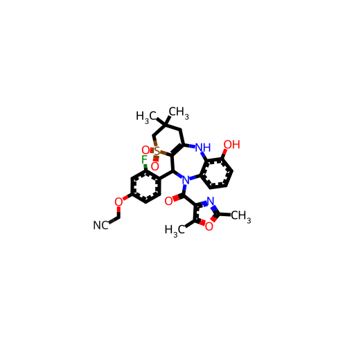 Cc1nc(C(=O)N2c3cccc(O)c3NC3=C(C2c2ccc(OCC#N)cc2F)S(=O)(=O)CC(C)(C)C3)c(C)o1